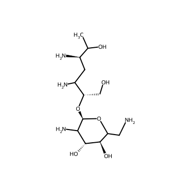 CC(O)[C@H](N)CC(N)[C@H](CO)O[C@H]1OC(CN)[C@@H](O)[C@H](O)C1N